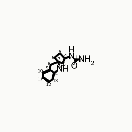 NC(=O)NC1CCC2(Cc3ccccc3N2)C1